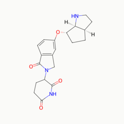 O=C1CCC(N2Cc3cc(O[C@H]4CC[C@@H]5CCN[C@@H]54)ccc3C2=O)C(=O)N1